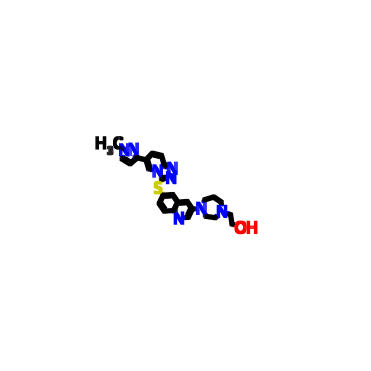 Cn1ccc(-c2ccc3nnc(Sc4ccc5ncc(N6CCCN(CCO)CC6)cc5c4)n3c2)n1